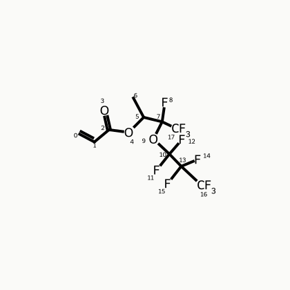 C=CC(=O)OC(C)C(F)(OC(F)(F)C(F)(F)C(F)(F)F)C(F)(F)F